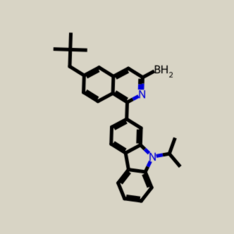 Bc1cc2cc(CC(C)(C)C)ccc2c(-c2ccc3c4ccccc4n(C(C)C)c3c2)n1